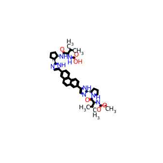 COC(=O)N[C@H](C(=O)N1CCC[C@H]1c1ncc(-c2ccc3c(ccc4cc(-c5cnc([C@H]6CCC[C@@H]6NC(=O)[C@@H](NC(=O)O)C(C)C)[nH]5)ccc43)c2)[nH]1)C(C)C